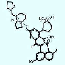 C#Cc1c(F)ccc2cc(O)cc(-c3nc(OC)c4c(N5CCC[C@@](C)(O)C5)nc(OC[C@]56CCC[C@H]5N(C[C@H]5CCCO5)CCC6)nc4c3F)c12